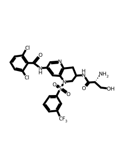 N[C@H](CO)C(=O)NC1Cc2ncc(NC(=O)c3c(Cl)cccc3Cl)cc2N(S(=O)(=O)c2cccc(C(F)(F)F)c2)C1